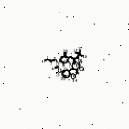 CCCCN(CC)c1ccc(/C=c2/c(C(C)(C)C)nn3c(=O)c(C)c(-c4cc(OC)ccc4OC)nc23)c(C)c1